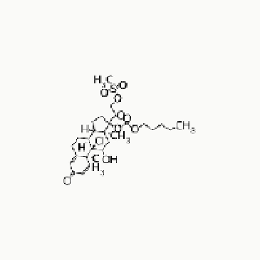 CCCCCOC(=O)O[C@]1(C(=O)COS(C)(=O)=O)CC[C@H]2[C@@H]3CCC4=CC(=O)C=C[C@]4(C)[C@@]3(Cl)C(O)C[C@@]21C